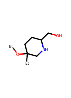 CCOC1(CC)CCC(CO)NC1